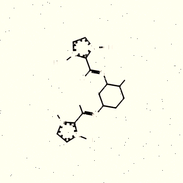 CC1CCC(/N=C(\[O-])c2n(C)cc[n+]2C)CC1N=C([O-])c1n(C)cc[n+]1C